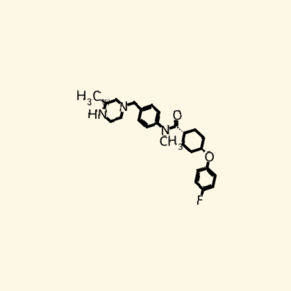 C[C@H]1CN(Cc2ccc(N(C)C(=O)[C@H]3CC[C@H](Oc4ccc(F)cc4)CC3)cc2)CCN1